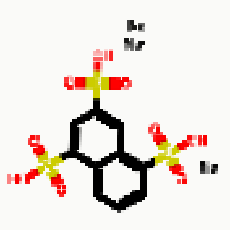 O=S(=O)(O)c1cc(S(=O)(=O)O)c2cccc(S(=O)(=O)O)c2c1.[Na].[Na].[Na]